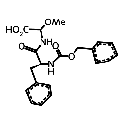 COC(NC(=O)[C@H](Cc1ccccc1)NC(=O)OCc1ccccc1)C(=O)O